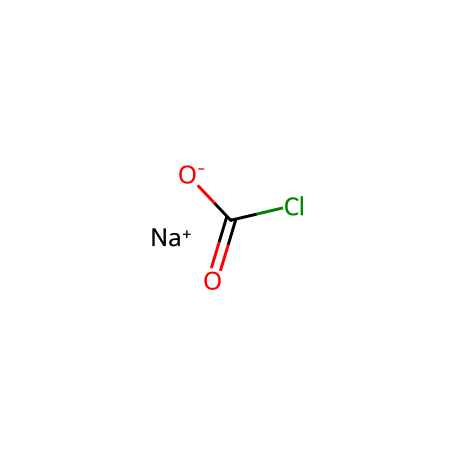 O=C([O-])Cl.[Na+]